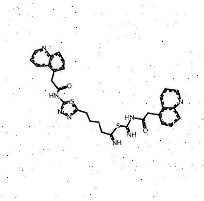 N=C(CCCCc1nnc(NC(=O)Cc2cccc3ncccc23)s1)SC(=N)NC(=O)Cc1cccc2ncccc12